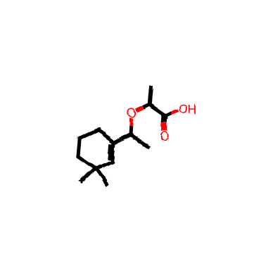 CC(OC(C)C1=CC(C)(C)CCC1)C(=O)O